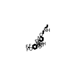 CCCNCCOc1ccc(NS(=O)(=O)c2ccc(OC(F)(F)F)cc2)c(OC)n1.Cl